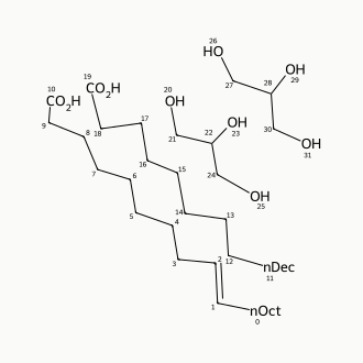 CCCCCCCCC=CCCCCCCCC(=O)O.CCCCCCCCCCCCCCCCCC(=O)O.OCC(O)CO.OCC(O)CO